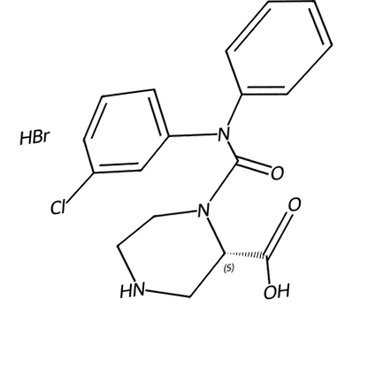 Br.O=C(O)[C@@H]1CNCCN1C(=O)N(c1ccccc1)c1cccc(Cl)c1